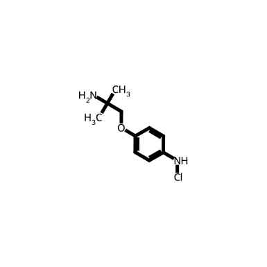 CC(C)(N)COc1ccc(NCl)cc1